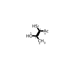 CC(=O)/C(S)=C(\C)O